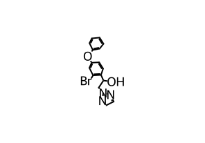 OC(Cn1nccn1)c1ccc(Oc2ccccc2)cc1Br